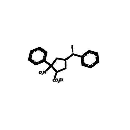 CCOC(=O)C1CI([C@H](C)c2ccccc2)CC1(c1ccccc1)[N+](=O)[O-]